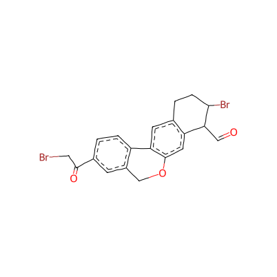 O=CC1c2cc3c(cc2CCC1Br)-c1ccc(C(=O)CBr)cc1CO3